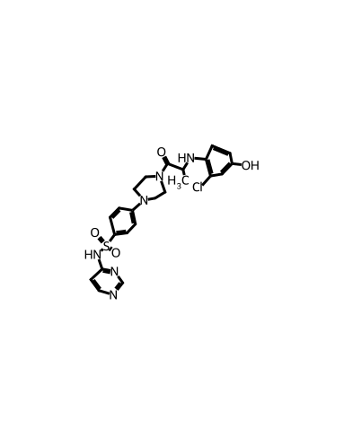 CC(Nc1ccc(O)cc1Cl)C(=O)N1CCN(c2ccc(S(=O)(=O)Nc3ccncn3)cc2)CC1